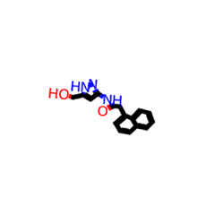 O=C(Cc1cccc2ccccc12)Nc1cc(CO)[nH]n1